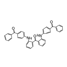 O=C(c1ccccc1)c1ccc(Nc2ccccc2C(=O)c2ccccc2Nc2ccc(C(=O)c3ccccc3)cc2)cc1